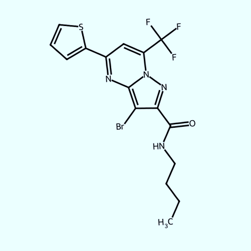 CCCCNC(=O)c1nn2c(C(F)(F)F)cc(-c3cccs3)nc2c1Br